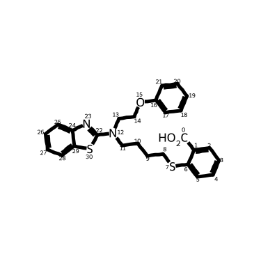 O=C(O)c1ccccc1SCCCCN(CCOc1ccccc1)c1nc2ccccc2s1